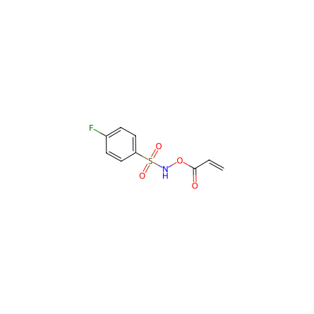 C=CC(=O)ONS(=O)(=O)c1ccc(F)cc1